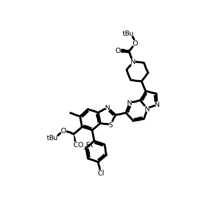 CCOC(=O)[C@@H](OC(C)(C)C)c1c(C)cc2nc(-c3ccn4ncc(C5CCN(C(=O)OC(C)(C)C)CC5)c4n3)sc2c1-c1ccc(Cl)cc1